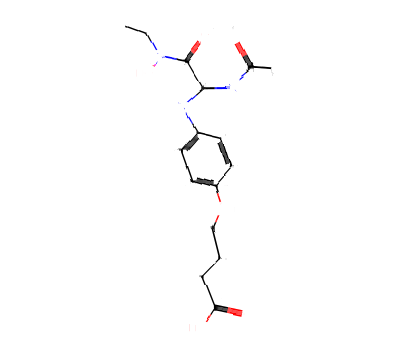 CCN(O)C(=O)C(NC(C)=O)Nc1ccc(OCCCC(=O)O)cc1